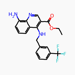 CCOC(=O)c1cnc2c(N)cccc2c1NCc1cccc(C(F)(F)F)c1